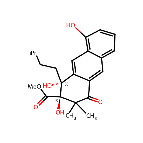 COC(=O)[C@@]1(O)C(C)(C)C(=O)c2cc3cccc(O)c3cc2[C@]1(O)CCC(C)C